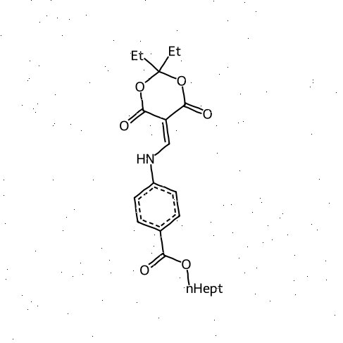 CCCCCCCOC(=O)c1ccc(NC=C2C(=O)OC(CC)(CC)OC2=O)cc1